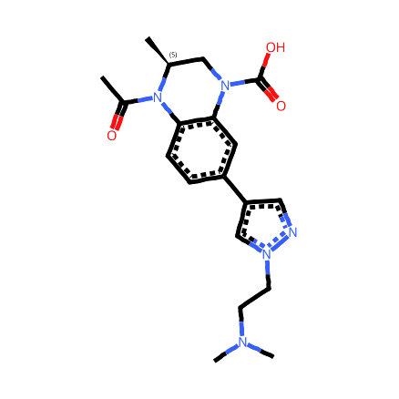 CC(=O)N1c2ccc(-c3cnn(CCN(C)C)c3)cc2N(C(=O)O)C[C@@H]1C